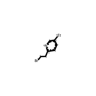 CCc1ccc(CCBr)nc1